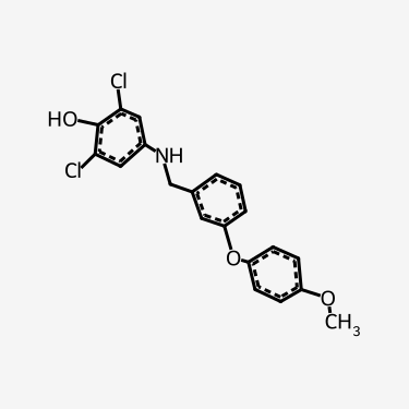 COc1ccc(Oc2cccc(CNc3cc(Cl)c(O)c(Cl)c3)c2)cc1